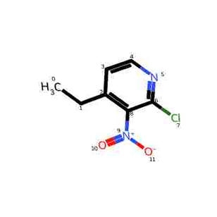 CCc1ccnc(Cl)c1[N+](=O)[O-]